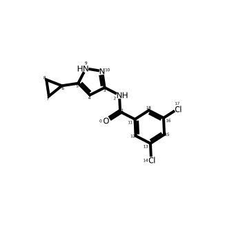 O=C(Nc1cc(C2CC2)[nH]n1)c1cc(Cl)cc(Cl)c1